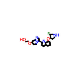 OCCOc1ccn2c(-c3ccc4cccc(OC5CCNC[C@@H]5F)c4n3)cnc2c1